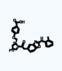 Cc1ccccc1Nc1nc2cc(CC(=O)N3C[C@@H](F)C[C@H]3COc3ccc(C(=O)O)cc3)ccc2o1